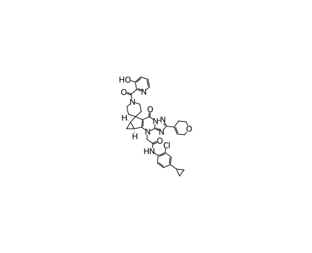 O=C(Cn1c2c(c(=O)n3nc(C4=CCOCC4)nc13)C1(CCN(C(=O)c3ncccc3O)CC1)[C@@H]1C[C@H]21)Nc1ccc(C2CC2)cc1Cl